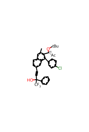 CC(=O)[C@@H](OC(C)(C)C)c1c(C)cc2ccc(C#CC(O)(c3ccccc3)C(F)(F)F)cc2c1-c1ccc(Cl)cc1